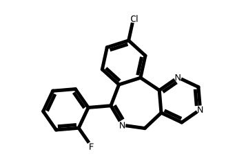 Fc1ccccc1C1=NCc2cncnc2-c2cc(Cl)ccc21